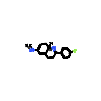 CNC1=CC[C@@H]2N=C(c3ccc(F)cc3)C=CC2=C1